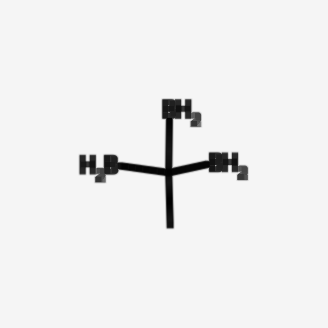 BC(B)(B)C